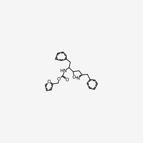 O=C(NC(Cc1ccccc1)C1CC(Cc2ccccc2)=NO1)OCc1ccco1